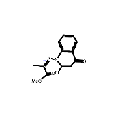 CCC1CC(=O)c2ccccc2N1/N=C(/C)C(=O)OC